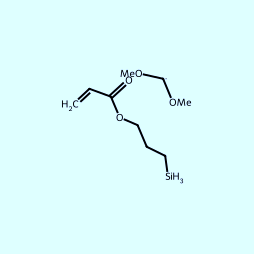 C=CC(=O)OCCC[SiH3].CO[CH]OC